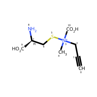 C#CC[N+](C)(SC[C@H](N)C(=O)O)C(=O)O